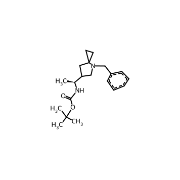 C[C@H](NC(=O)OC(C)(C)C)C1CN(Cc2ccccc2)C2(CC2)C1